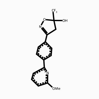 COc1cccc(-c2ccc(C3=NOC(O)(C(F)(F)F)C3)cc2)n1